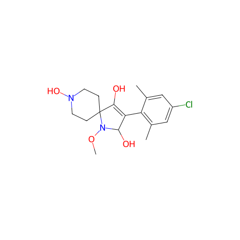 CON1C(O)C(c2c(C)cc(Cl)cc2C)=C(O)C12CCN(O)CC2